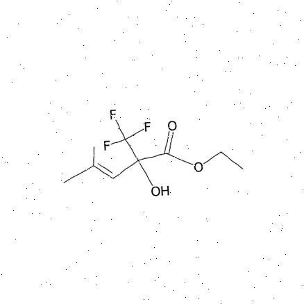 CCOC(=O)C(O)(C=C(C)C)C(F)(F)F